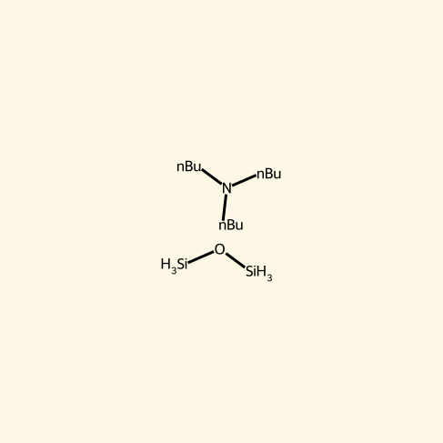 CCCCN(CCCC)CCCC.[SiH3]O[SiH3]